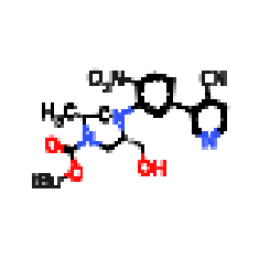 C[C@@H]1CN(c2cc(-c3cnccc3C#N)ccc2[N+](=O)[O-])[C@H](CO)CN1C(=O)OC(C)(C)C